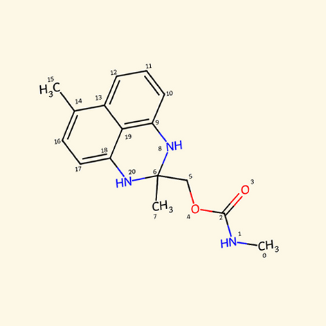 CNC(=O)OCC1(C)Nc2cccc3c(C)ccc(c23)N1